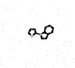 c1coc(-n2ccc3ccccc32)c1